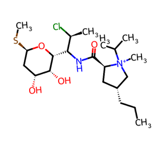 CCC[C@@H]1C[C@@H](C(=O)NC([C@H](C)Cl)[C@H]2O[C@H](SC)C[C@@H](O)[C@H]2O)[N+](C)(C(C)C)C1